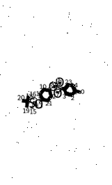 Cc1ccc(S(=O)(=O)O[C@H]2CC[C@@H](O[Si](C)(C)C(C)(C)C)CC2)cc1